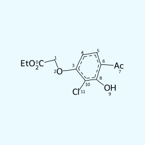 CCOC(=O)COc1ccc(C(C)=O)c(O)c1Cl